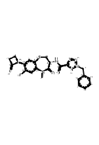 CN1C(=O)[C@@H](NC(=O)c2nnn(Cc3ccccc3)n2)CSc2cc(N3CCC3=O)c(F)cc21